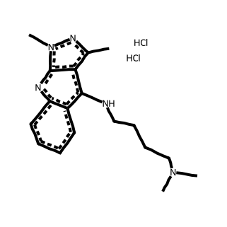 Cc1nn(C)c2nc3ccccc3c(NCCCCN(C)C)c12.Cl.Cl